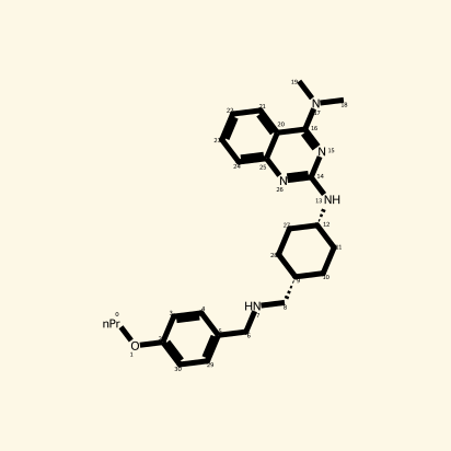 CCCOc1ccc(CNC[C@H]2CC[C@@H](Nc3nc(N(C)C)c4ccccc4n3)CC2)cc1